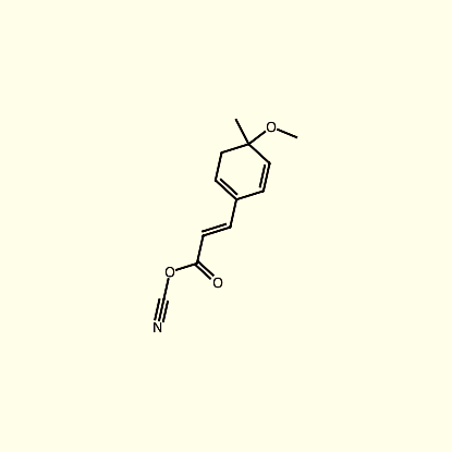 COC1(C)C=CC(C=CC(=O)OC#N)=CC1